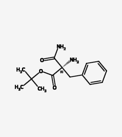 CC(C)(C)OC(=O)[C@](N)(Cc1ccccc1)C(N)=O